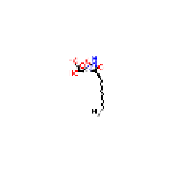 CCCCCCCCCCC#Cc1cn([C@H]2C[C@H](O)[C@@H](CO)O2)c(=O)[nH]c1=O